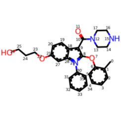 Cc1ccccc1Oc1c(C(=O)N2CCNCC2)c2ccc(OCCCO)cc2n1-c1ccccc1